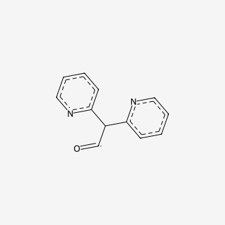 O=[C]C(c1ccccn1)c1ccccn1